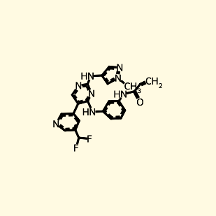 C=CC(=O)Nc1cccc(Nc2nc(Nc3cnn(C)c3)ncc2-c2cncc(C(F)F)c2)c1